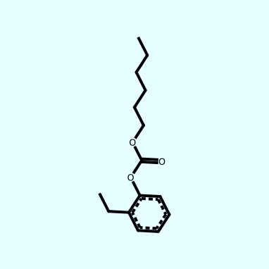 CCCCCCOC(=O)Oc1ccccc1CC